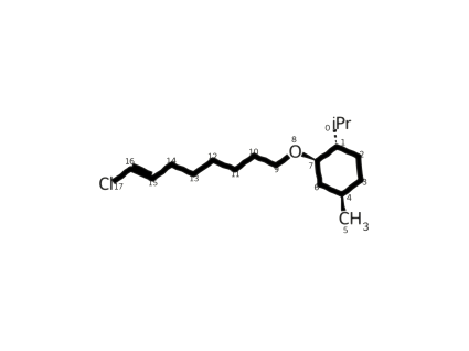 CC(C)[C@@H]1CC[C@@H](C)C[C@H]1OCCCCCCC=CCl